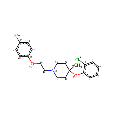 CC1(Oc2ccccc2Cl)CCN(CCOc2ccc(F)cc2)CC1